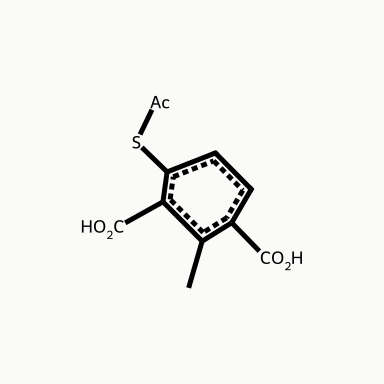 CC(=O)Sc1ccc(C(=O)O)c(C)c1C(=O)O